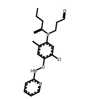 C=C(CCC)N(CCC=O)c1cc(Cl)c(ONc2ccccn2)cc1C